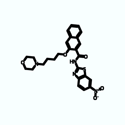 O=C(Nc1nc2ccc([N+](=O)[O-])cc2s1)c1cc2ccccc2cc1OCCCCN1CCOCC1